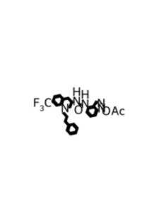 CC(=O)On1ncc2c(NC(=O)NC3Cc4ccc(C(F)(F)F)cc4N(CCCc4ccccc4)C3)cccc21